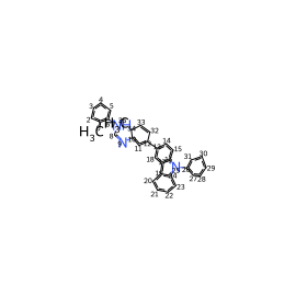 Cc1ccccc1N/C=N\C1=C=C(c2ccc3c(c2)c2ccccc2n3-c2ccccc2)C=CC1C